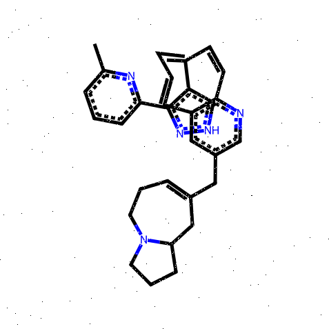 Cc1cccc(-c2n[nH]cc2C2=C\C=C\c3cc(CC4=CCCN5CCCC5C4)cnc3/C=C\2)n1